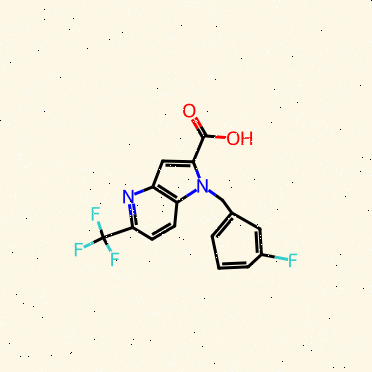 O=C(O)c1cc2nc(C(F)(F)F)ccc2n1Cc1cccc(F)c1